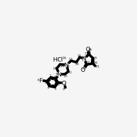 COc1ccc(F)cc1N1CCN(CCCN2C(=O)C=C(C)C2=O)CC1.Cl